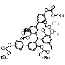 Cc1cc(I)cc(C(c2cc(-c3ccc(OC(=O)OC(C)(C)C)cc3)ccc2OC(=O)OC(C)(C)C)c2cc(-c3ccc(OC(=O)OC(C)(C)C)cc3)ccc2OC(=O)OC(C)(C)C)c1OC(=O)OC(C)(C)C